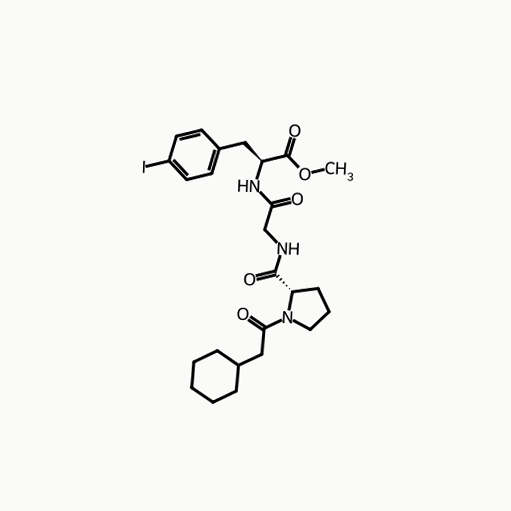 COC(=O)[C@H](Cc1ccc(I)cc1)NC(=O)CNC(=O)[C@@H]1CCCN1C(=O)CC1CCCCC1